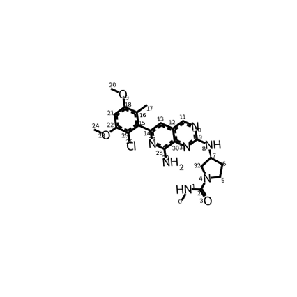 CNC(=O)N1CC[C@H](Nc2ncc3cc(-c4c(C)c(OC)cc(OC)c4Cl)nc(N)c3n2)C1